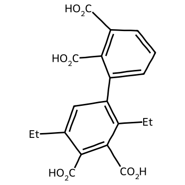 CCc1cc(-c2cccc(C(=O)O)c2C(=O)O)c(CC)c(C(=O)O)c1C(=O)O